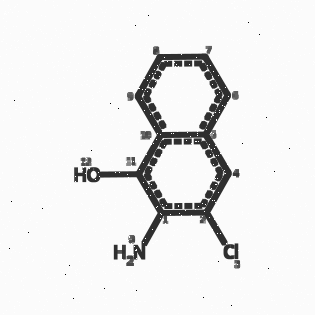 Nc1c(Cl)cc2ccccc2c1O